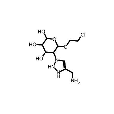 NCC1=CN(C2C(OCCCl)OC(O)C(O)[C@@H]2O)NN1